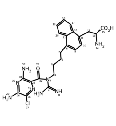 N=C(N)N(CCCCc1ccc(C[C@H](N)C(=O)O)c2ccccc12)C(=O)c1nc(Cl)c(N)nc1N